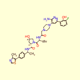 Cc1ncsc1-c1ccc(C(C)NC(=O)[C@@H]2C[C@@H](O)CN2C(=O)C(NC(=O)CN2CCN(c3cc(-c4cccc(F)c4O)nnc3N)CC2)C(C)(C)C)cc1